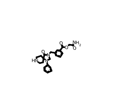 NC(=O)COC(=O)c1cccc(CN2CN(c3ccccc3)C3(CCNCC3)C2=O)c1